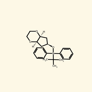 CC(C)(C)[Si](O[C@@H]1C[C@@H]2OCCO[C@@H]2C1)(c1ccccc1)c1ccccc1